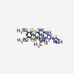 C=CC(=O)NC1CN(c2cc[nH]n2)CC1Nc1ncc2c(n1)N(C)C(=O)N(c1c(Cl)c(OC)cc(OC)c1Cl)C2